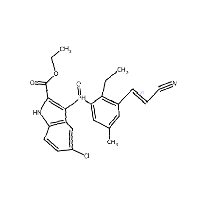 CCOC(=O)c1[nH]c2ccc(Cl)cc2c1[PH](=O)c1cc(C)cc(/C=C/C#N)c1CC